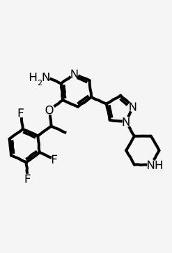 CC(Oc1cc(-c2cnn(C3CCNCC3)c2)cnc1N)c1c(F)ccc(F)c1F